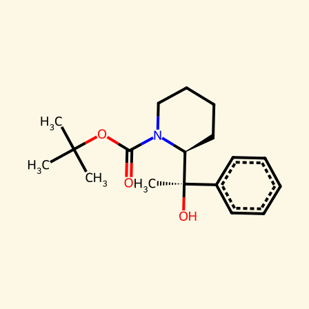 CC(C)(C)OC(=O)N1CCCC[C@H]1[C@](C)(O)c1ccccc1